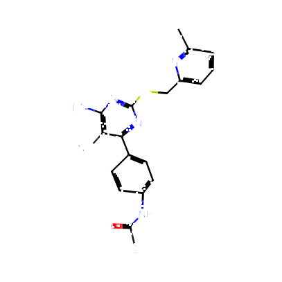 CCC(=O)Nc1ccc(-c2nc(SCc3cccc(C)n3)nc(N)c2C#N)cc1